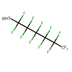 CSC(F)(F)C(F)(F)C(F)(F)C(F)(F)C(F)(F)C(F)(F)F